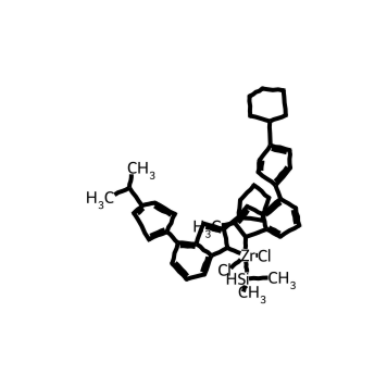 CC1=Cc2c(-c3ccc(C4CCCCC4)cc3)cccc2[CH]1[Zr]([Cl])([Cl])([CH]1C(C2CCCC2)=Cc2c(-c3ccc(C(C)C)cc3)cccc21)[SiH](C)C